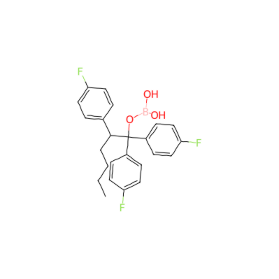 CCCCC(c1ccc(F)cc1)C(OB(O)O)(c1ccc(F)cc1)c1ccc(F)cc1